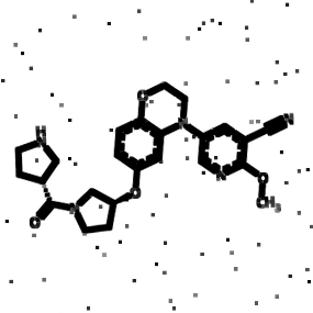 COc1ncc(N2CCOc3ccc(O[C@H]4CCN(C(=O)[C@@H]5CCNC5)C4)cc32)cc1C#N